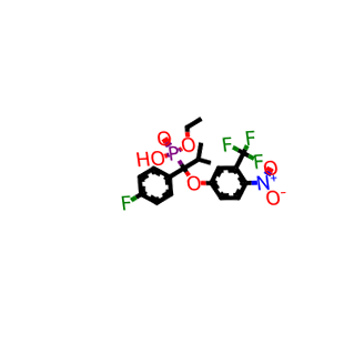 CCOP(=O)(O)C(Oc1ccc([N+](=O)[O-])c(C(F)(F)F)c1)(c1ccc(F)cc1)C(C)C